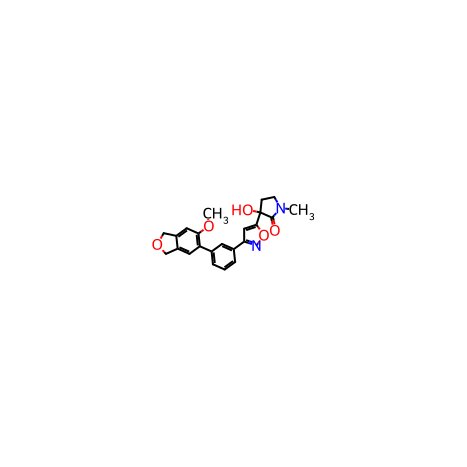 COc1cc2c(cc1-c1cccc(-c3cc(C4(O)CCN(C)C4=O)on3)c1)COC2